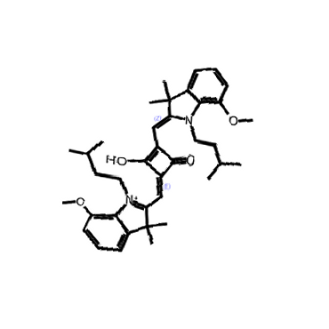 COc1cccc2c1N(CCC(C)C)/C(=C\C1=C(O)C(=C\C3=[N+](CCC(C)C)c4c(OC)cccc4C3(C)C)/C1=O)C2(C)C